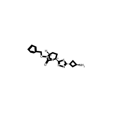 N[C@H]1C[C@H](c2nnc([C@@H]3CC[C@@H]4CN3C(=O)N4OCc3ccccc3)s2)C1